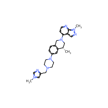 C[C@H]1CN(c2ccnc3c2cnn3C)Cc2ccc(N3CCN(Cc4cn(C)cn4)CC3)cc21